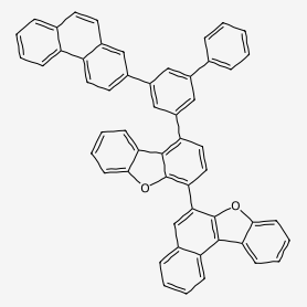 c1ccc(-c2cc(-c3ccc4c(ccc5ccccc54)c3)cc(-c3ccc(-c4cc5ccccc5c5c4oc4ccccc45)c4oc5ccccc5c34)c2)cc1